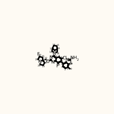 Cc1ccc(-c2c(Cl)cc3c(N4CC5CCC(C5)C4)nc(OC[C@@]45CCCN4C[C@H](F)C5)nc3c2F)c2nc(N)sc12